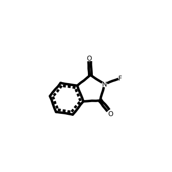 O=C1c2ccccc2C(=O)N1F